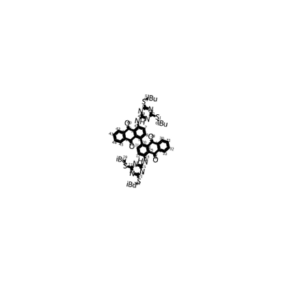 CCC(C)Sc1nc(Nc2ccc(-c3ccc(Nc4nc(SC(C)CC)nc(SC(C)CC)n4)c4c3C(=O)c3ccccc3C4=O)c3c2C(=O)c2ccccc2C3=O)nc(SC(C)CC)n1